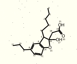 CCCCCC1c2cc(CCC)ccc2OC1(O)CC(=O)O